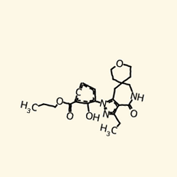 CCCOC(=O)c1cccc(-n2nc(CC)c3c2CC2(CCOCC2)CNC3=O)c1O